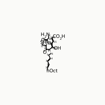 CCCCCCCCC=CC=CCC[C@H](C(=O)C(CS)NC(=O)CN)C(O)=CC=CC(=O)O